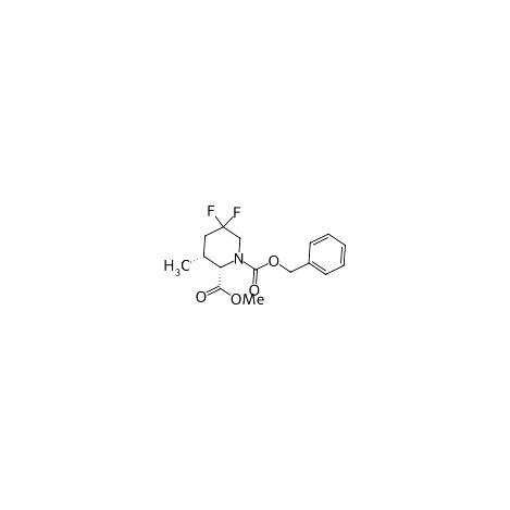 COC(=O)[C@@H]1[C@H](C)CC(F)(F)CN1C(=O)OCc1ccccc1